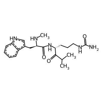 CN[C@H](Cc1c[nH]c2ccccc12)C(=O)N[C@H](CCCNC(N)=O)C(=O)C(C)C